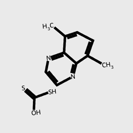 Cc1ccc(C)c2nccnc12.OC(=S)S